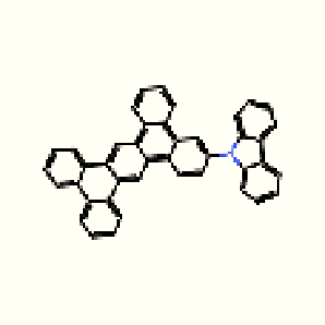 c1ccc2c(c1)c1ccccc1c1cc3c4ccc(-n5c6ccccc6c6ccccc65)cc4c4ccccc4c3cc21